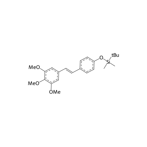 COc1cc(/C=C/c2ccc(O[Si](C)(C)C(C)(C)C)cc2)cc(OC)c1OC